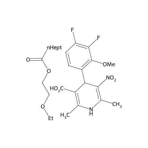 CCCCCCCC(=O)OCCOCC.COc1c(C2C(C(=O)O)=C(C)NC(C)=C2[N+](=O)[O-])ccc(F)c1F